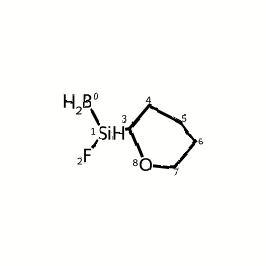 B[SiH](F)C1CCCCO1